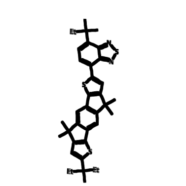 CCC(C)(C)c1ccc(-c2cc3c(s2)-c2cc4c(cc2C3(C)C)-c2sc(C(C)(CC)CC)cc2C4(C)C)c2nsnc12